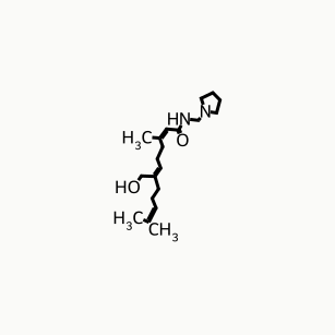 CC(C)=CCCC(=CCCC(C)=CC(=O)NCN1CCCC1)CO